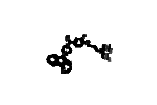 CN(C)CCCOc1ccc(C(=O)N2CCN(C3c4ccccc4-c4ncccc43)CC2)cc1F